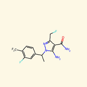 CC(c1ccc(C(F)(F)F)c(F)c1)n1nc(CF)c(C(N)=O)c1N